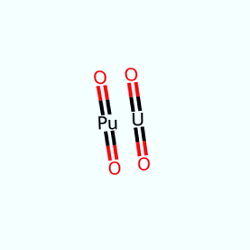 [O]=[Pu]=[O].[O]=[U]=[O]